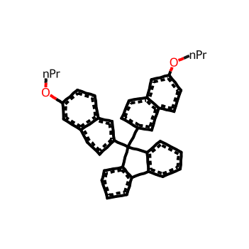 CCCOc1ccc2cc(C3(c4ccc5cc(OCCC)ccc5c4)c4ccccc4-c4ccccc43)ccc2c1